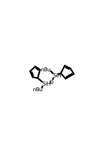 CCCC[SiH](O[SiH](CCCC)C1C=CC=C1)C1C=CC=C1